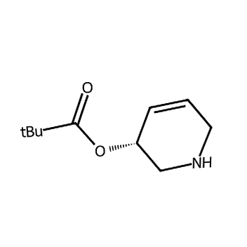 CC(C)(C)C(=O)O[C@@H]1C=CCNC1